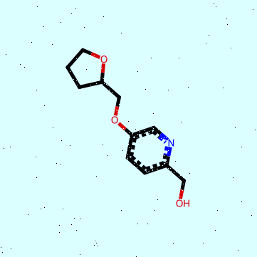 OCc1ccc(OCC2CCCO2)cn1